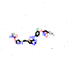 CCNC(=O)O[C@@H]1CN[C@@H](C#Cc2cc3ncnc(Nc4ccc(Oc5cc(C)on5)c(Cl)c4)c3s2)C1